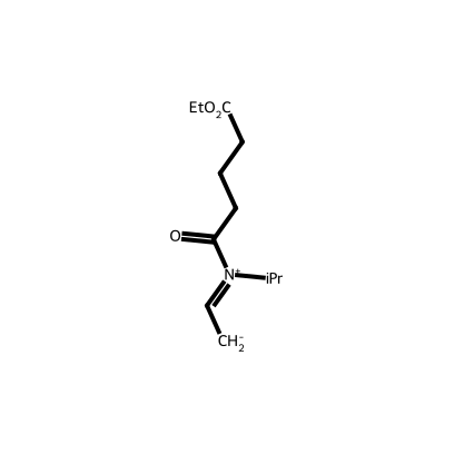 [CH2-]/C=[N+](/C(=O)CCCC(=O)OCC)C(C)C